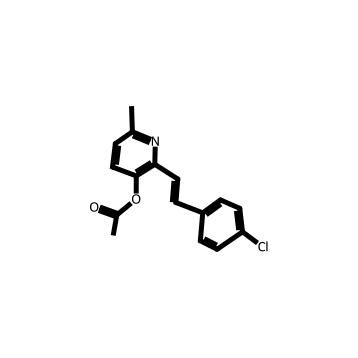 CC(=O)Oc1ccc(C)nc1C=Cc1ccc(Cl)cc1